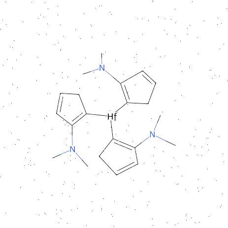 CN(C)C1=[C]([Hf]([C]2=C(N(C)C)C=CC2)[C]2=C(N(C)C)C=CC2)CC=C1